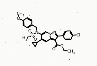 CCOC(=O)c1c(-c2ccc(Cl)cc2)nn2cc(N(Cc3ccc(OC)cc3)S(C)(=O)=O)c(C3CC3)cc12